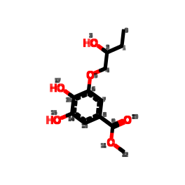 CCC(O)COc1cc(C(=O)OC)cc(O)c1O